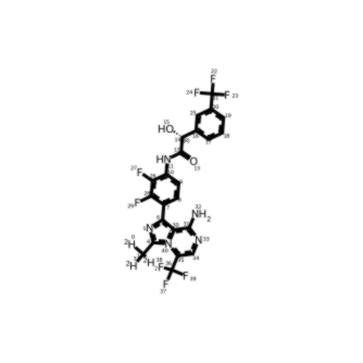 [2H]C([2H])([2H])c1nc(-c2ccc(NC(=O)[C@H](O)c3cccc(C(F)(F)F)c3)c(F)c2F)c2c(N)ncc(C(F)(F)F)n12